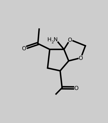 CC(=O)C1CC(C(C)=O)C2(N)OCOC12